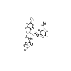 COc1ccc([C@@H]2CCN(C(=O)OC(C)(C)C)C[C@@H]2COc2cccc(C#N)c2)cc1